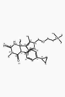 Cc1nn(COCC[Si](C)(C)C)c(C)c1[C@@]1(C)NC(=N)N(C)C(=O)[C@@H]1c1ccc(C2CC2)cc1